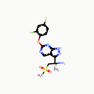 C[C@](N)(CS(C)(=O)=O)c1n[nH]c2nc(Oc3ccc(F)cc3F)ncc12